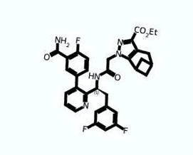 CCOC(=O)c1nn(CC(=O)N[C@@H](Cc2cc(F)cc(F)c2)c2ncccc2-c2ccc(F)c(C(N)=O)c2)c2c1CC1CC2C1